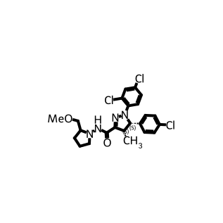 COCC1CCCN1NC(=O)C1=NN(c2ccc(Cl)cc2Cl)[C@H](c2ccc(Cl)cc2)[C@@H]1C